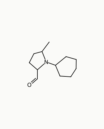 CC1CCC(C=O)N1C1CCCCC1